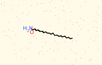 CCCCCCCCCCCCCCCC=CC=CC=CC(N)=O